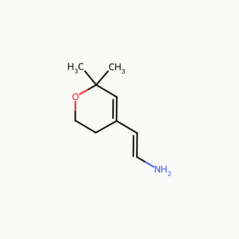 CC1(C)C=C(/C=C/N)CCO1